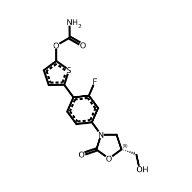 NC(=O)Oc1ccc(-c2ccc(N3C[C@H](CO)OC3=O)cc2F)s1